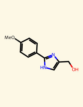 COc1ccc(-c2nc(CO)c[nH]2)cc1